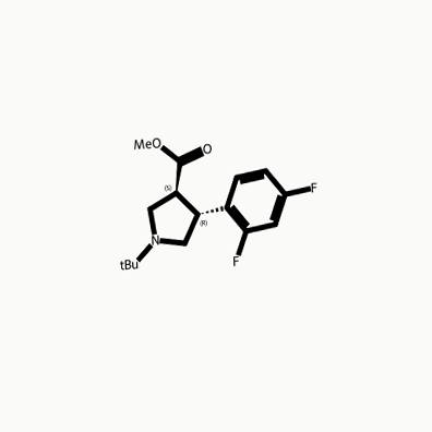 COC(=O)[C@@H]1CN(C(C)(C)C)C[C@H]1c1ccc(F)cc1F